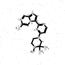 CC(=O)N1CCN(c2ccnc(-c3cnc4cnc(C(F)(F)F)cn34)n2)CC1(C)C